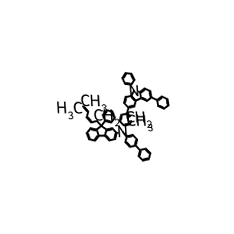 C=C(/C=C\C(=C/C)N(c1ccc(-c2ccccc2)cc1)c1ccc2c(c1)C(C(=C)/C=C\C=C(C)C)(c1ccccc1)c1ccccc1-2)c1ccc2c(c1)c1cc(-c3ccccc3)ccc1n2-c1ccccc1